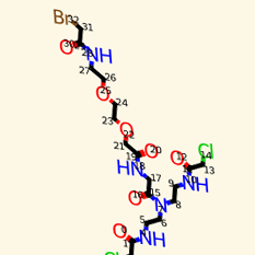 O=C(CCl)NCCN(CCNC(=O)CCl)C(=O)CNC(=O)COCCOCCNC(=O)CBr